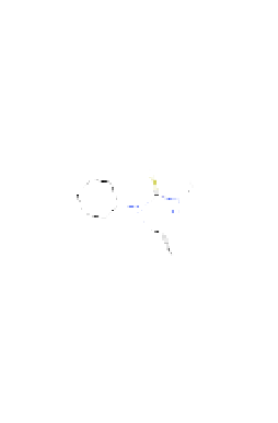 C=CCN(C(=S)NCC)C1CCCCC1